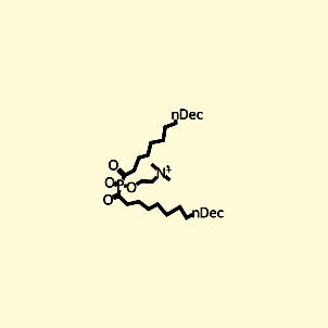 CCCCCCCCCCCCCCCCCC(=O)P(=O)(OCC[N+](C)(C)C)C(=O)CCCCCCCCCCCCCCCCC